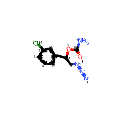 [N-]=[N+]=NCC(OC(N)=O)c1cccc(Cl)c1